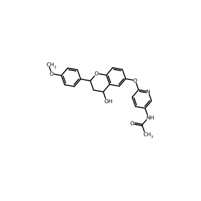 COc1ccc(C2CC(O)c3cc(Oc4ccc(NC(C)=O)cn4)ccc3O2)cc1